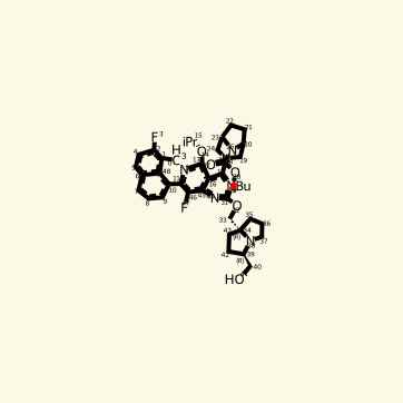 Cc1c(F)ccc2cccc(-c3nc(OC(C)C)c4c(N5CC6CCC(C5)N6C(=O)OC(C)(C)C)nc(OC[C@]56CCCN5[C@@H](CO)CC6)nc4c3F)c12